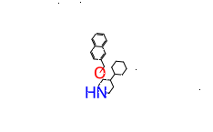 c1ccc2cc(COC3CNCCC3C3CCCCC3)ccc2c1